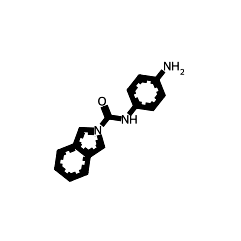 Nc1ccc(NC(=O)n2cc3ccccc3c2)cc1